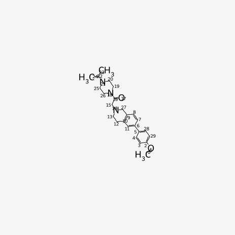 COc1ccc(-c2ccc3c(c2)CCN(CC(=O)N2CCN(C(C)C)CC2)C3)cc1